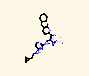 Cc1nc(/C(N)=C(\CNc2nccc(NCCC3CC3)n2)N(C)N)ccc1CC1CCCCC1